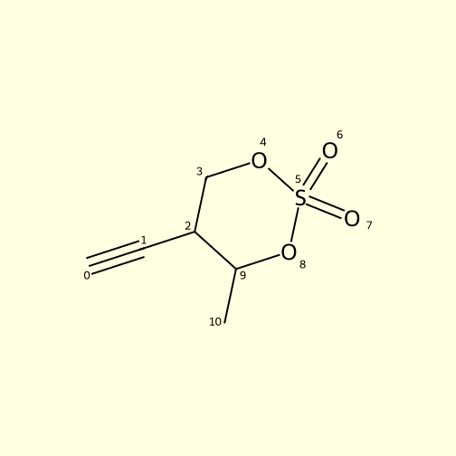 C#CC1COS(=O)(=O)OC1C